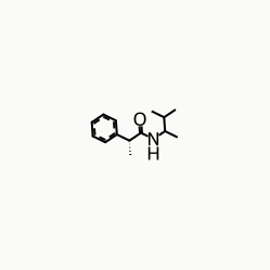 CC(C)C(C)NC(=O)[C@H](C)c1ccccc1